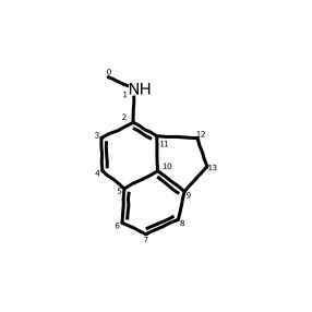 CNc1ccc2cccc3c2c1CC3